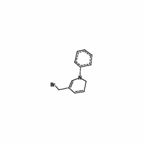 BrCC1=CN(c2ccccc2)CC=C1